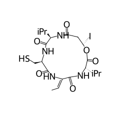 C/C=C1\NC(=O)[C@@H](CS)NC(=O)[C@@H](C(C)C)NC(=O)C[C@H](I)OC(=O)[C@H](C(C)C)NC1=O